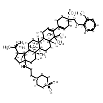 C=C(C)C1CCC2(NCCN3CCS(=O)(=O)CC3)CC[C@]3(C)[C@H](CC[C@@H]4[C@@]5(C)CC=C(C6=CC[C@@](COc7ncccc7C#N)(C(=O)O)CC6)C(C)(C)[C@@H]5CC[C@]43C)[C@@H]12